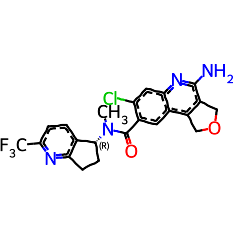 CN(C(=O)c1cc2c3c(c(N)nc2cc1Cl)COC3)[C@@H]1CCc2nc(C(F)(F)F)ccc21